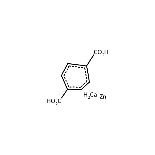 O=C(O)c1ccc(C(=O)O)cc1.[CaH2].[Zn]